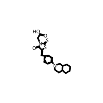 O=C(O)CN1C(=O)C(=Cc2ccc(N3CCC4CCCCC4C3)cc2)SC1=S